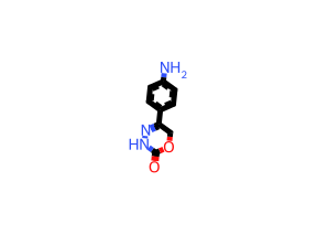 Nc1ccc(C2=NNC(=O)OC2)cc1